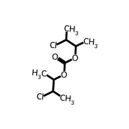 CC(Cl)C(C)OC(=O)OC(C)C(C)Cl